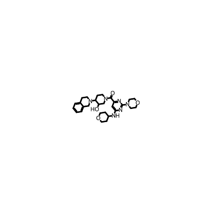 O=C(c1cc(NC2CCOCC2)nc(N2CCOCC2)n1)N1CCC(N2CCc3ccccc3C2)C(O)C1